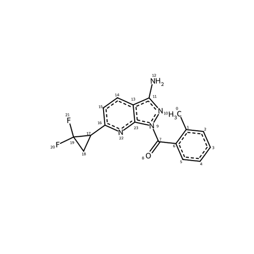 Cc1ccccc1C(=O)n1nc(N)c2ccc(C3CC3(F)F)nc21